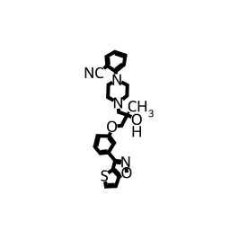 C[C@@](O)(COc1cccc(-c2noc3ccsc23)c1)CN1CCN(c2ccccc2C#N)CC1